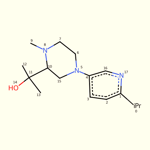 CC(C)c1ccc(N2CCN(C)C(C(C)(C)O)C2)cn1